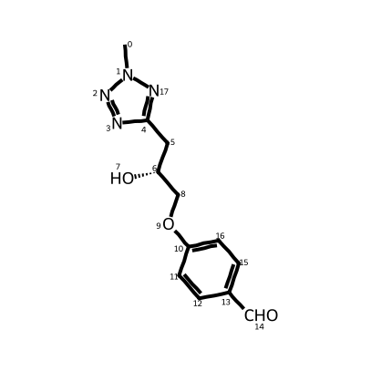 Cn1nnc(C[C@@H](O)COc2ccc(C=O)cc2)n1